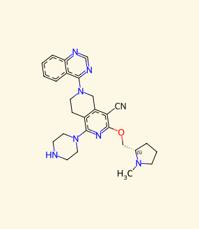 CN1CCC[C@H]1COc1nc(N2CCNCC2)c2c(c1C#N)CN(c1ncnc3ccccc13)CC2